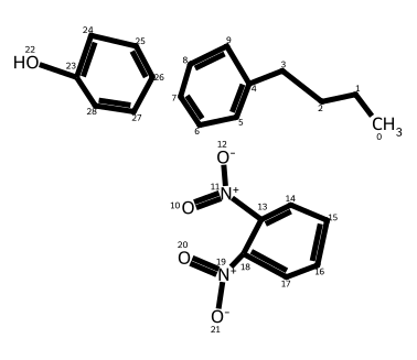 CCCCc1ccccc1.O=[N+]([O-])c1ccccc1[N+](=O)[O-].Oc1ccccc1